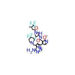 COc1nccc(-c2cc(CN3CCC(F)(F)CC3)c3c(N)ncnn23)c1C(=O)N[C@@H]1CN(C(=O)CC(C)C(F)(F)F)C[C@@H]1F